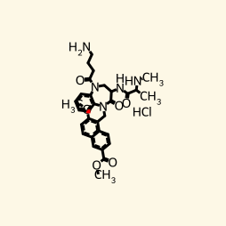 CNC(C)C(=O)NC1CN(C(=O)CCCN)c2ccccc2N(Cc2c(OC)ccc3cc(C(=O)OC)ccc23)C1=O.Cl